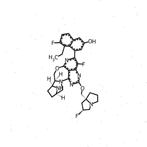 CCc1c(F)ccc2cc(O)cc(-c3nc4c5c(nc(OC[C@]67CCCN6C[C@@H](F)C7)nc5c3F)N3C[C@H]5CC[C@H](N5)[C@H]3CO4)c12